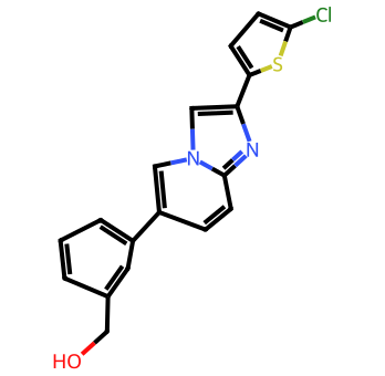 OCc1cccc(-c2ccc3nc(-c4ccc(Cl)s4)cn3c2)c1